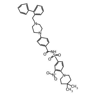 CC1(C)CCN(c2ccc(S(=O)(=O)NC(=O)c3ccc(N4CCN(Cc5ccccc5-c5ccccc5)CC4)cc3)cc2[N+](=O)[O-])CC1